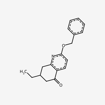 CCC1CC(=O)c2ccc(OCc3ccccc3)nc2C1